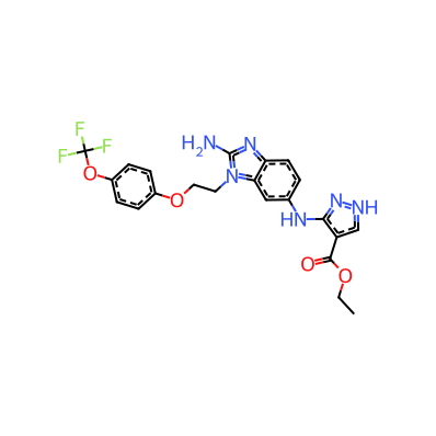 CCOC(=O)c1c[nH]nc1Nc1ccc2nc(N)n(CCOc3ccc(OC(F)(F)F)cc3)c2c1